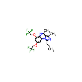 CCCc1nc(C)c2c(C)nc3c(OCC(F)(F)F)cc(OCC(F)(F)F)cc3n12